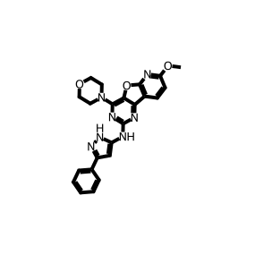 COc1ccc2c(n1)oc1c(N3CCOCC3)nc(Nc3cc(-c4ccccc4)n[nH]3)nc12